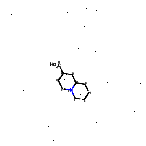 O=C(O)C1CCN2CCCCC2C1